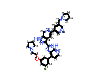 Fc1cc(OCCN2CCCC2)cc(-c2ccnc3[nH]c(-c4n[nH]c5cnc(-c6cncc(CN7CCCC7)c6)cc45)nc23)c1